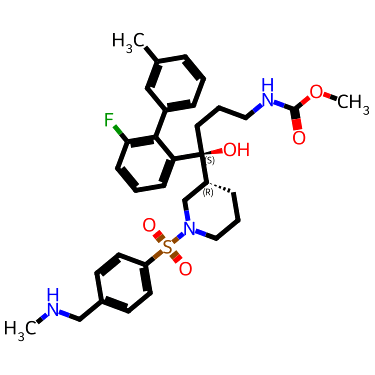 CNCc1ccc(S(=O)(=O)N2CCC[C@@H]([C@@](O)(CCCNC(=O)OC)c3cccc(F)c3-c3cccc(C)c3)C2)cc1